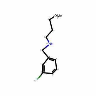 COCCCNCc1cccc(F)c1